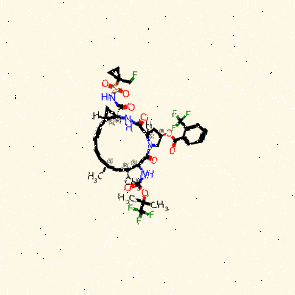 C[C@H]1CCC=C[C@@H]2C[C@@]2(C(=O)NS(=O)(=O)C2(CF)CC2)NC(=O)[C@@H]2C[C@@H](OC(=O)c3ccccc3C(F)(F)F)CN2C(=O)[C@@H](NC(=O)OC(C)(C)C(F)(F)F)[C@H](C)C1